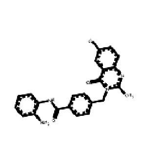 Cc1nc2ccc(Cl)cc2c(=O)n1Cc1ccc(C(=O)Nc2ccccc2N)cc1